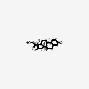 CC1C[C@H]2[C@@H]3CCC4=CC(=O)C=C[C@]4(C)C3=CC[C@]2(C)[C@@]1(Br)C(=O)CO